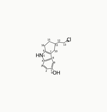 Oc1ccc2[nH]c3c(c2c1)CC(CCCl)CC3